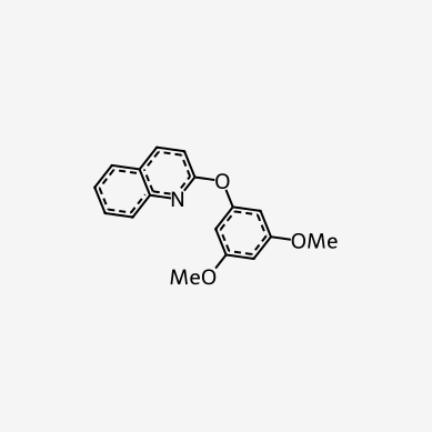 COc1cc(OC)cc(Oc2ccc3ccccc3n2)c1